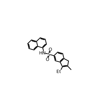 CCC1=C(C)Cc2ccc(S(=O)(=O)Nc3cccc4ccccc34)cc21